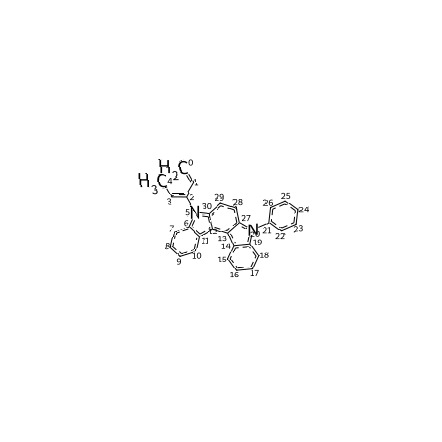 C=C/C(=C\C)n1c2ccccc2c2c3c4ccccc4n(-c4ccccc4)c3ccc21